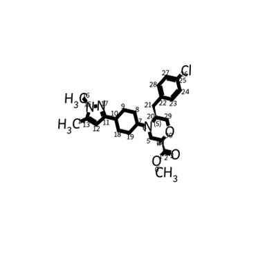 COC(=O)[C@H]1CN(C2CCC(c3cc(C)n(C)n3)CC2)[C@@H](Cc2ccc(Cl)cc2)CO1